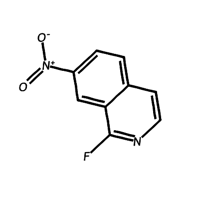 O=[N+]([O-])c1ccc2ccnc(F)c2c1